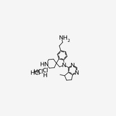 CC1CCc2ncnc(N3CC4(CCNCC4)c4cc(CCN)ccc43)c21.Cl.Cl.Cl